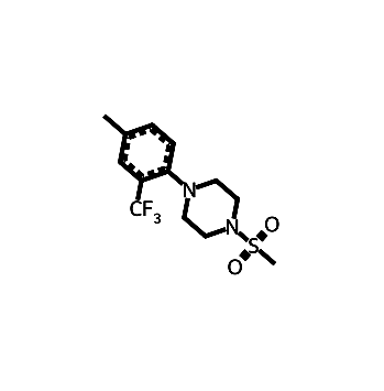 Cc1ccc(N2CCN(S(C)(=O)=O)CC2)c(C(F)(F)F)c1